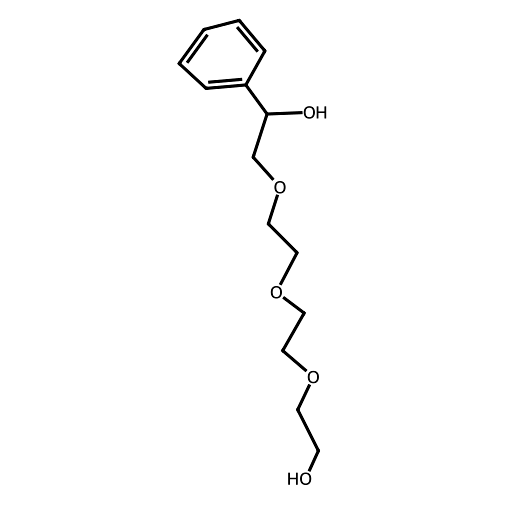 OCCOCCOCCOCC(O)c1ccccc1